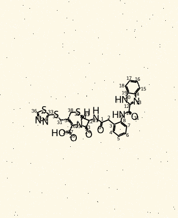 O=C(Cc1ccccc1NC(=O)c1nc2ccccc2[nH]1)NC1C(=O)N2C(C(=O)O)=C(CSc3nncs3)CS[C@H]12